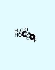 CC[C@H]1CC(O)=C(C)C(=O)N1Cc1ccc(F)cc1